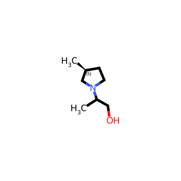 CC(CO)N1CC[C@H](C)C1